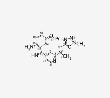 Cc1nnc(CN(C)c2cc(C(=N)c3cc(OC(C)C)ccc3N)ccn2)o1